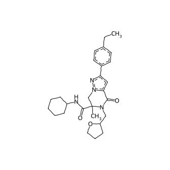 CCc1ccc(-c2cc3n(n2)CC(C)(C(=O)NC2CCCCC2)N(CC2CCCO2)C3=O)cc1